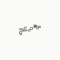 CN(C)C(=O)Cn1ccc(-c2ccc(OCCNC[C@@H](O)c3cccnc3)cc2)n1